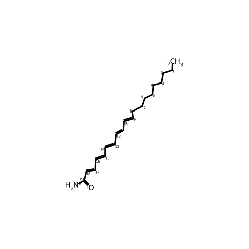 CCCCCCCCCC=CC=CC=CC=CC=CC(N)=O